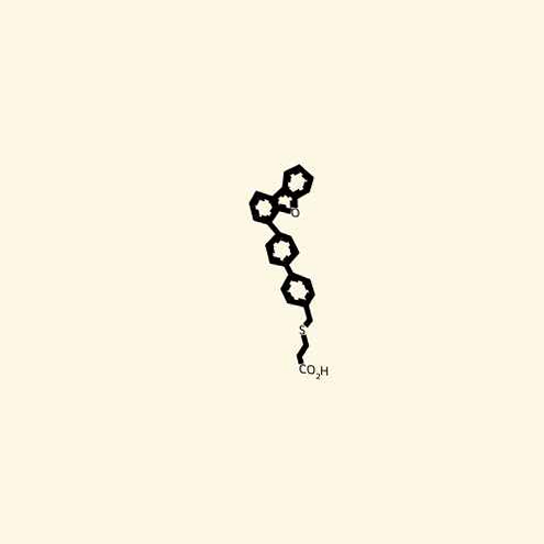 O=C(O)CCSCc1ccc(-c2ccc(-c3cccc4c3oc3ccccc34)cc2)cc1